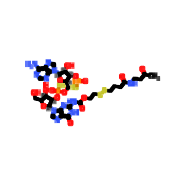 CC(=O)CCNC(=O)CCCSSCCOC(=O)Nc1nc2c(ncn2[C@@H]2OC(CO)[C@@H](O)[C@H]2OP(=O)(S)OC[C@H]2O[C@@H](n3cnc4c(N)ncnc43)[C@H](O)[C@@H]2O[PH](=O)S)c(=O)[nH]1